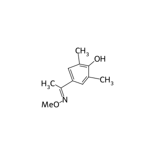 CON=C(C)c1cc(C)c(O)c(C)c1